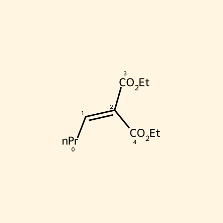 CCCC=C(C(=O)OCC)C(=O)OCC